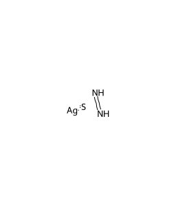 N=N.[Ag].[S]